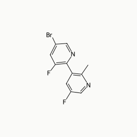 Cc1ncc(F)cc1-c1ncc(Br)cc1F